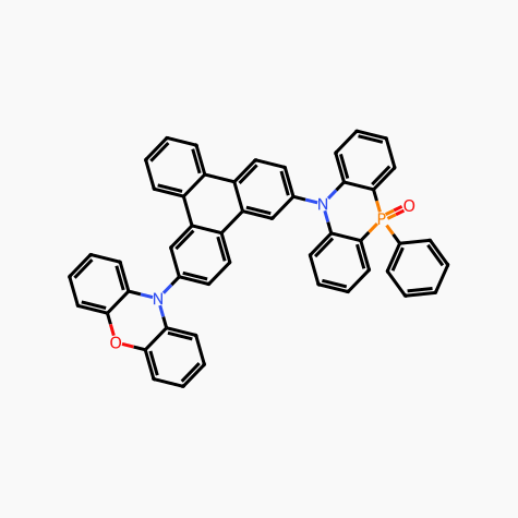 O=P1(c2ccccc2)c2ccccc2N(c2ccc3c4ccccc4c4cc(N5c6ccccc6Oc6ccccc65)ccc4c3c2)c2ccccc21